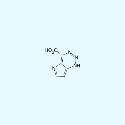 O=C(O)c1nn[nH]c2ccnc1-2